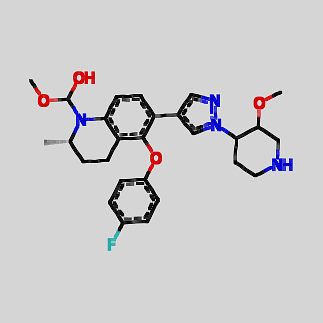 COC1CNCCC1n1cc(-c2ccc3c(c2Oc2ccc(F)cc2)CC[C@H](C)N3C(O)OC)cn1